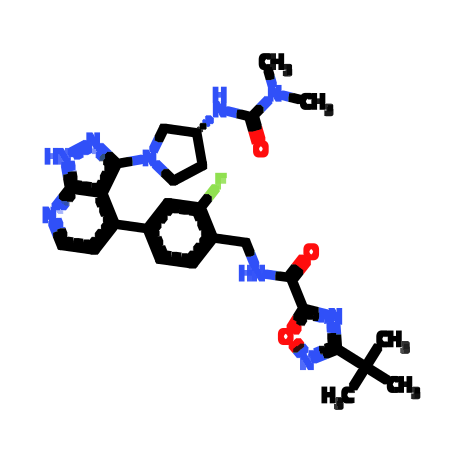 CN(C)C(=O)N[C@@H]1CCN(c2n[nH]c3nccc(-c4ccc(CNC(=O)c5nc(C(C)(C)C)no5)c(F)c4)c23)C1